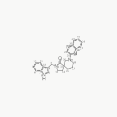 O=C1N(Cc2c[nH]c3ccccc23)CCC12CCCN(c1cnc3ccccc3n1)C2